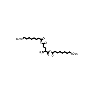 CCCCCCCCCCCCCCCCCC(=O)OC(=O)CCC(N)C(=O)OC(=O)CCCCCCCCCCCCCCCCC